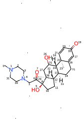 CN1CCN(CC(=O)[C@@]2(O)CC[C@H]3[C@@H]4CCC5=CC(=O)C=C[C@]5(C)[C@H]4C(O)C[C@@]32C)CC1